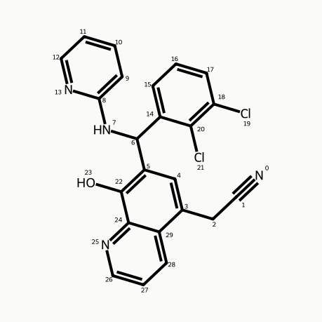 N#CCc1cc(C(Nc2ccccn2)c2cccc(Cl)c2Cl)c(O)c2ncccc12